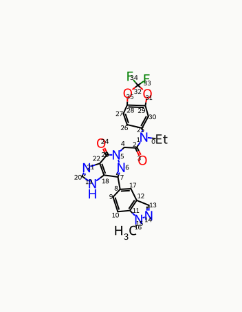 CCN(C(=O)Cn1nc(-c2ccc3c(cnn3C)c2)c2[nH]cnc2c1=O)c1ccc2c(c1)OC(F)(F)O2